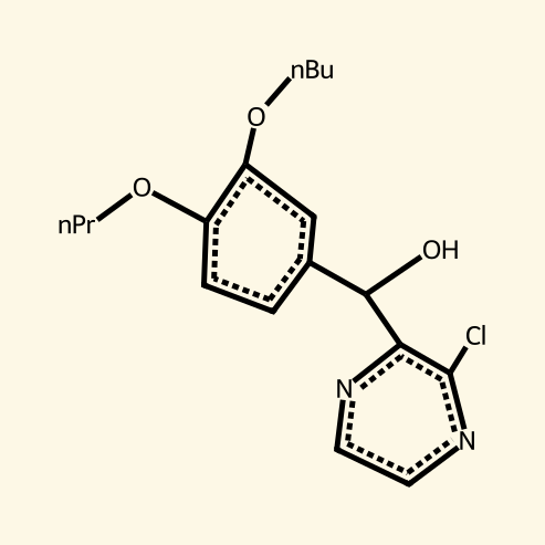 CCCCOc1cc(C(O)c2nccnc2Cl)ccc1OCCC